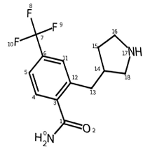 NC(=O)c1ccc(C(F)(F)F)cc1CC1CCNC1